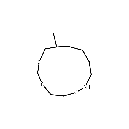 CC1CCCCCCCNCCCC1